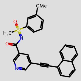 COc1cccc(S(C)(=O)=NC(=O)c2cncc(C#Cc3cccc4ccccc34)c2)c1